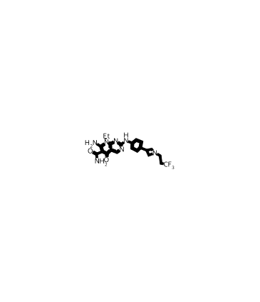 CCn1c(N)c(C(N)=O)c(=O)c2cnc(Nc3ccc(C4CN(CCC(F)(F)F)C4)cc3)nc21